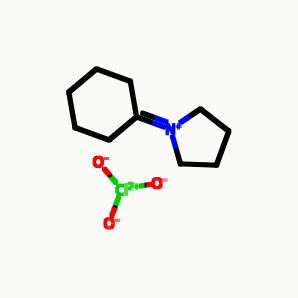 C1CCC(=[N+]2CCCC2)CC1.[O-][Cl+2]([O-])[O-]